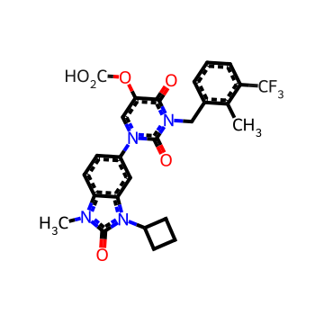 Cc1c(Cn2c(=O)c(OC(=O)O)cn(-c3ccc4c(c3)n(C3CCC3)c(=O)n4C)c2=O)cccc1C(F)(F)F